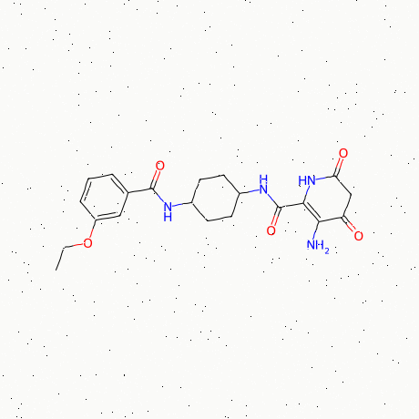 CCOc1cccc(C(=O)NC2CCC(NC(=O)C3=C(N)C(=O)CC(=O)N3)CC2)c1